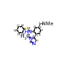 CNCc1ccc(-c2cncn2C)c(NSc2ccccc2)c1